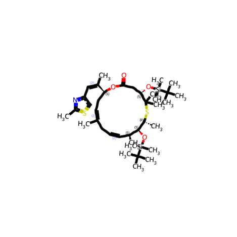 C/C1=C/C[C@@H](/C(C)=C\c2csc(C)n2)OC(=O)C[C@H](O[Si](C)(C)C(C)(C)C)C(C)(C)S[C@H](C)[C@@H](O[Si](C)(C)C(C)(C)C)[C@@H](C)/C=C\C1